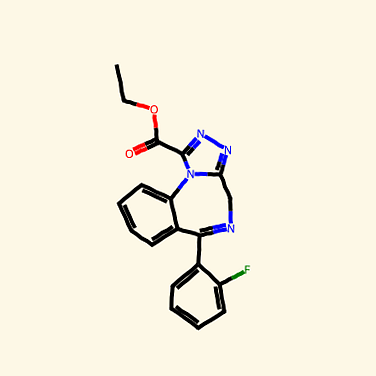 CCOC(=O)c1nnc2n1-c1ccccc1C(c1ccccc1F)=NC2